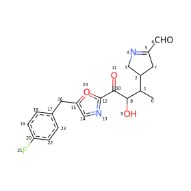 CC(C1CN=C(C=O)C1)C(O)C(=O)c1ncc(Cc2ccc(F)cc2)o1